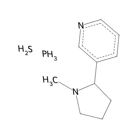 CN1CCCC1c1cccnc1.P.S